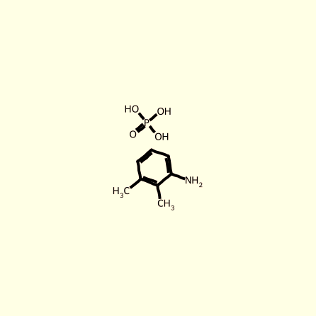 Cc1cccc(N)c1C.O=P(O)(O)O